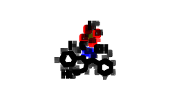 C#CCc1c(-c2ccccc2)n(C)[n+](C)c1-c1ccccc1.O=S(=O)([O-])[O-].[H+]